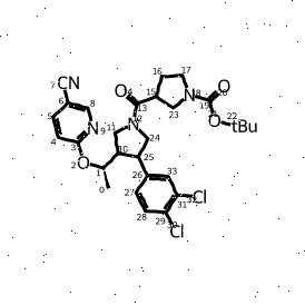 C[C@@H](Oc1ccc(C#N)cn1)C1CN(C(=O)C2CCN(C(=O)OC(C)(C)C)C2)CC1c1ccc(Cl)c(Cl)c1